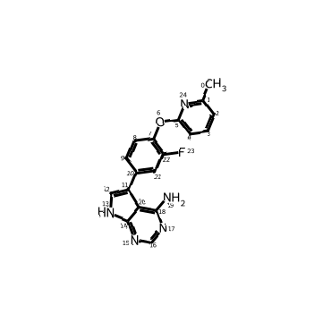 Cc1cccc(Oc2ccc(-c3c[nH]c4ncnc(N)c34)cc2F)n1